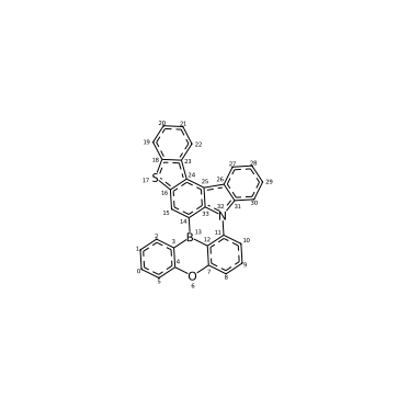 c1ccc2c(c1)Oc1cccc3c1B2c1cc2sc4ccccc4c2c2c4ccccc4n-3c12